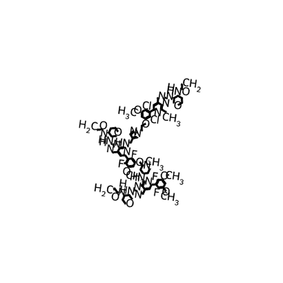 C=CC(=O)N[C@H]1CCOC[C@H]1Nc1ncc2cc(-c3c(Cl)c(OC)cc(OCCn4cc(CNc5nc(-c6c(F)c(OC)cc(OC7CC(Nc8nc(-c9c(F)c(OC)cc(OC)c9F)cc9cnc(N[C@@H]%10COCC[C@@H]%10NC(=O)C=C)nc89)CCN7C)c6F)cc6cnc(N[C@@H]7COCC[C@@H]7NC(=O)C=C)nc56)cn4)c3Cl)nc(CC)c2n1